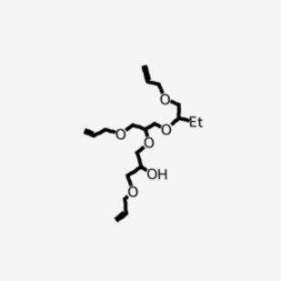 C=CCOCC(O)COC(COCC=C)COC(CC)COCC=C